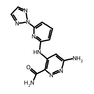 NC(=O)c1nnc(N)cc1Nc1cccc(-n2nccn2)n1